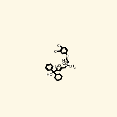 C[N+](C)(CCOc1ccc(Cl)c(Cl)c1)Cc1cc(C(O)(c2ccccc2)C2CCCCC2)no1